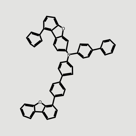 c1ccc(-c2ccc(N(c3ccc(-c4ccc(-c5cccc6c5oc5ccccc56)cc4)cc3)c3ccc4c(c3)oc3cccc(-c5ccccc5)c34)cc2)cc1